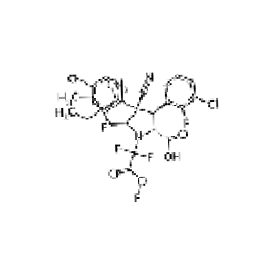 CCC(CC)(CC)C[C@@H]1N(C(F)(F)C(=O)OF)[C@@H](C(=O)O)[C@H](c2cccc(Cl)c2F)[C@@]1(C#N)c1ccc(Cl)cc1F